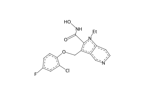 CCn1c(C(=O)NO)c(COc2ccc(F)cc2Cl)c2cnccc21